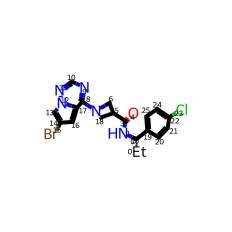 CC[C@H](NC(=O)C1CN(c2ncnn3cc(Br)cc23)C1)c1ccc(Cl)cc1